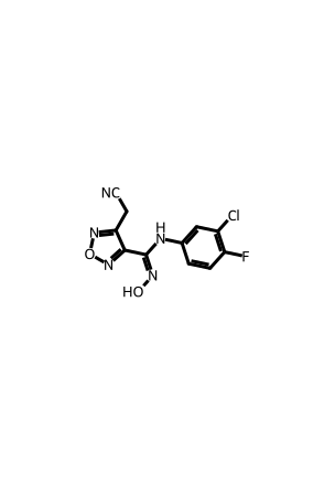 N#CCc1nonc1/C(=N\O)Nc1ccc(F)c(Cl)c1